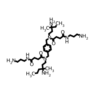 CCCC(C)(N)CCN(Cc1ccc(CN(CCC(C)(N)CC)C(=O)CCC(=O)NCCCN)cc1)C(=O)CCC(=O)NCCCN